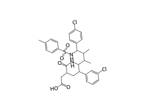 Cc1ccc(S(=O)(=O)NC(c2ccc(Cl)cc2)C(C)C(C)C2NC(=O)C(CC(=O)O)CC2c2cccc(Cl)c2)cc1